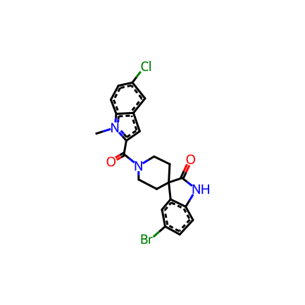 Cn1c(C(=O)N2CCC3(CC2)C(=O)Nc2ccc(Br)cc23)cc2cc(Cl)ccc21